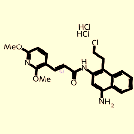 COc1ccc(/C=C/C(=O)Nc2cc(N)c3ccccc3c2CCCl)c(OC)n1.Cl.Cl